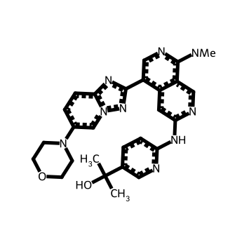 CNc1ncc(-c2nc3ccc(N4CCOCC4)cn3n2)c2cc(Nc3ccc(C(C)(C)O)cn3)ncc12